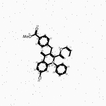 C=C(O/C=C\C)C1=C(Cc2ccc(C(=O)OC)cc2)C(=C)c2ccc(Cl)cc2N1c1ccccc1